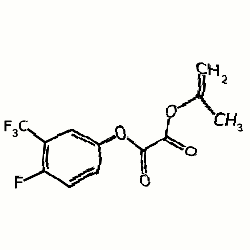 C=C(C)OC(=O)C(=O)Oc1ccc(F)c(C(F)(F)F)c1